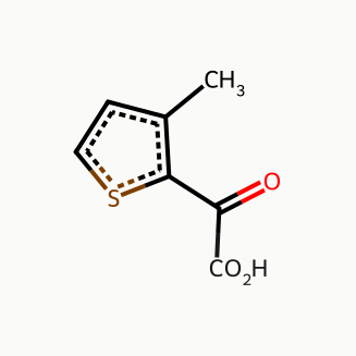 Cc1ccsc1C(=O)C(=O)O